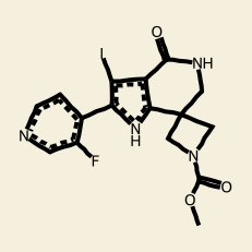 COC(=O)N1CC2(CNC(=O)c3c2[nH]c(-c2ccncc2F)c3I)C1